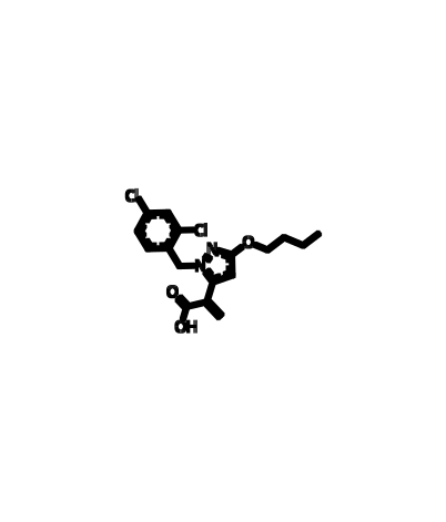 C=C(C(=O)O)c1cc(OCCCC)nn1Cc1ccc(Cl)cc1Cl